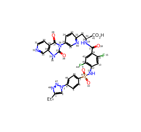 CCc1cn(-c2ccc(S(=O)(=O)Nc3cc(F)c(C(=O)N[C@@H](Cc4ccc(-n5c(=O)c6ccncc6n(C)c5=O)cn4)C(=O)O)cc3F)cc2)nn1